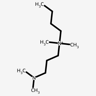 CCCC[N+](C)(C)CCCN(C)C